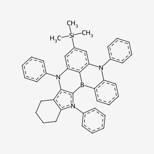 C[Si](C)(C)c1cc2c3c(c1)N(c1ccccc1)c1c4c(n(-c5ccccc5)c1B3c1ccccc1N2c1ccccc1)CCCC4